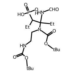 CCC(C(CC)(NC=O)N(CCNC(=O)OC(C)(C)C)C(=O)OC(C)(C)C)P(=O)(O)O